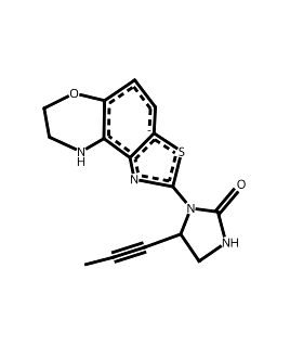 CC#CC1CNC(=O)N1c1nc2c3c(ccc2s1)OCCN3